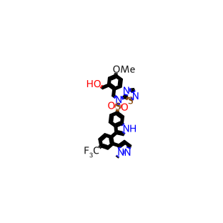 COc1ccc(CN(c2ncns2)S(=O)(=O)c2ccc3c(-c4ccc(C(F)(F)F)cc4-c4ccnn4C)c[nH]c3c2)c(CO)c1